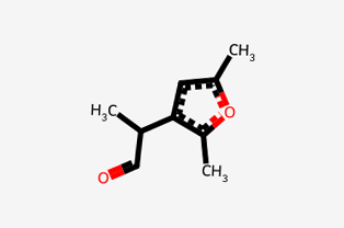 Cc1cc(C(C)C=O)c(C)o1